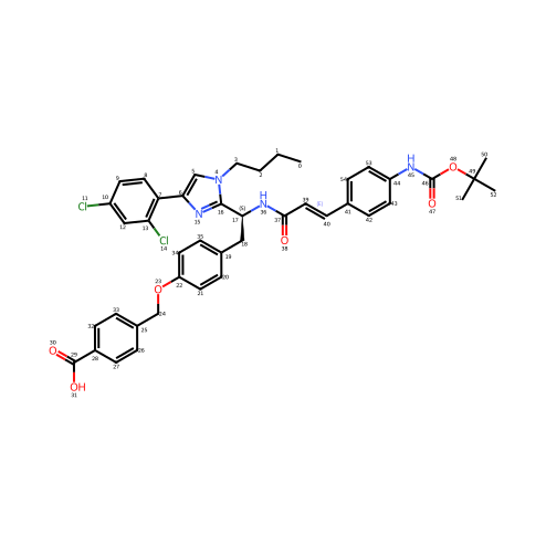 CCCCn1cc(-c2ccc(Cl)cc2Cl)nc1[C@H](Cc1ccc(OCc2ccc(C(=O)O)cc2)cc1)NC(=O)/C=C/c1ccc(NC(=O)OC(C)(C)C)cc1